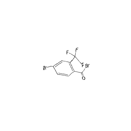 O=C(Br)c1ccc(Br)cc1C(F)(F)F